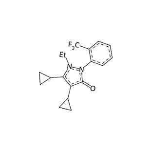 CCn1c(C2CC2)c(C2CC2)c(=O)n1-c1ccccc1C(F)(F)F